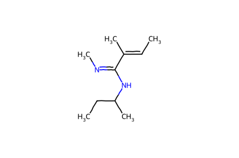 C/C=C(C)/C(=N\C)NC(C)CC